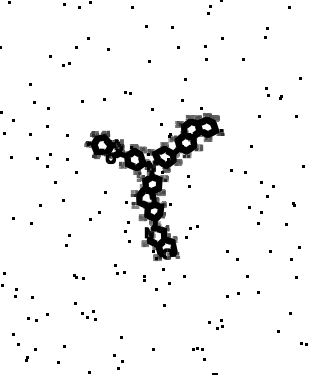 c1ccc2cc(-c3ccc4c(ccc5cc(N(c6ccc(-c7ccc8c(ccc9ccccc98)c7)cc6)c6ccc(-c7nc8ccccc8o7)cc6)ccc54)c3)ncc2c1